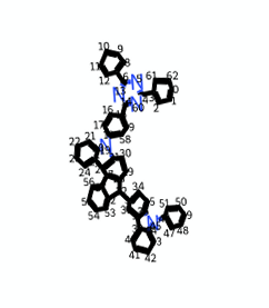 c1ccc(-c2nc(-c3ccccc3)nc(-c3ccc(-n4c5ccccc5c5c6c(ccc54)C(c4ccc5c(c4)c4ccccc4n5-c4ccccc4)c4ccccc4-6)cc3)n2)cc1